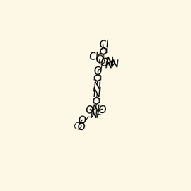 CC1(C)C(=O)N(c2ccc(N3CCN(c4ccc(OCC5COC(Cn6cncn6)(c6ccc(Cl)cc6Cl)O5)cc4)CC3)cc2)C(=O)N1CCCOC1CCCCO1